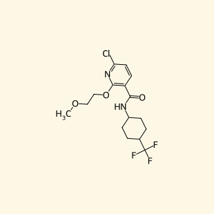 COCCOc1nc(Cl)ccc1C(=O)NC1CCC(C(F)(F)F)CC1